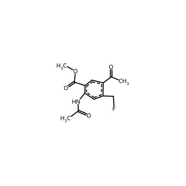 COC(=O)c1cc(C(C)=O)c(CF)cc1NC(C)=O